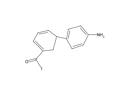 Nc1ccc(C2C=CC=C(C(=O)I)C2)cc1